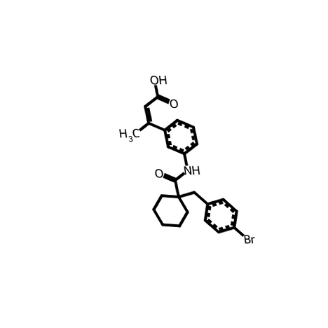 C/C(=C/C(=O)O)c1cccc(NC(=O)C2(Cc3ccc(Br)cc3)CCCCC2)c1